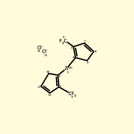 FC(F)(F)C1=[C]([Zr+2][C]2=C(C(F)(F)F)C=CC2)CC=C1.[Cl-].[Cl-]